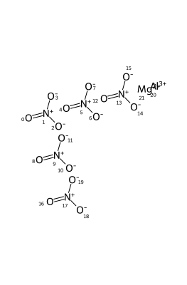 O=[N+]([O-])[O-].O=[N+]([O-])[O-].O=[N+]([O-])[O-].O=[N+]([O-])[O-].O=[N+]([O-])[O-].[Al+3].[Mg+2]